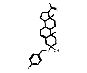 CC(=O)C1CCC2C3CC=C4CC(O)(OCc5ccc(F)cc5)CCC4(C)C3CCC12C